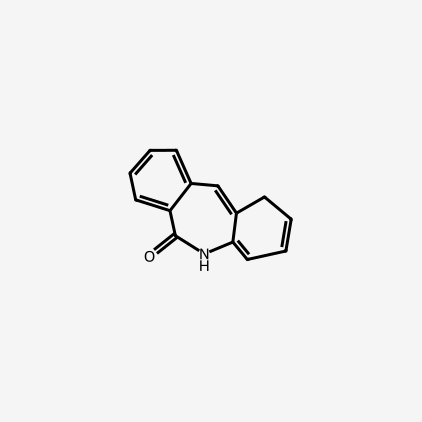 O=C1NC2=CC=CCC2=Cc2ccccc21